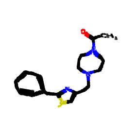 CC(=O)N1CCN(Cc2csc(-c3ccccc3)n2)CC1